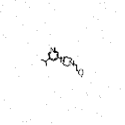 COCCN1CCN(c2cncc(C(C)C)c2)CC1